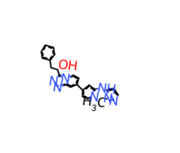 Cn1nccc1Nc1cc(-c2ccn3c(C(O)Cc4ccccc4)nnc3c2)ccn1